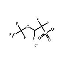 O=S(=O)([O-])C(F)(F)C(F)OC(F)(F)C(F)(F)F.[K+]